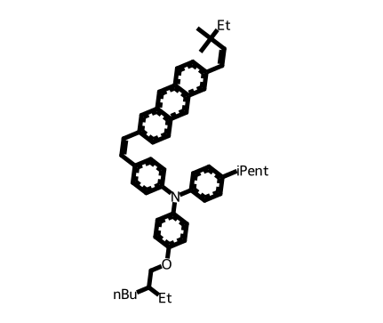 CCCCC(CC)COc1ccc(N(c2ccc(/C=C\c3ccc4cc5cc(/C=C\C(C)(C)CC)ccc5cc4c3)cc2)c2ccc(C(C)CCC)cc2)cc1